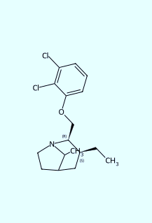 CC[C@H]1CC2CCN(C2C)[C@H]1COc1cccc(Cl)c1Cl